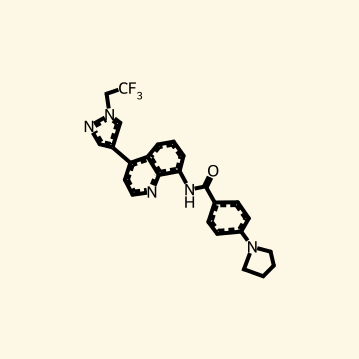 O=C(Nc1cccc2c(-c3cnn(CC(F)(F)F)c3)ccnc12)c1ccc(N2CCCC2)cc1